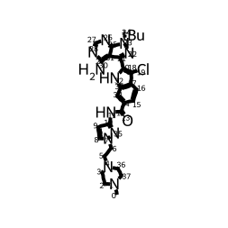 CN1CCN(CCn2ccc(NC(=O)c3ccc4c(Cl)c(-c5nn(C(C)(C)C)c6ncnc(N)c56)[nH]c4c3)n2)CC1